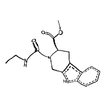 CCNC(=O)N1Cc2[nH]c3ccccc3c2C[C@@H]1C(=O)OC